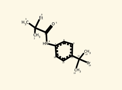 CCC(C)(C)C(=O)Nc1ccc(C(C)(C)Br)cc1